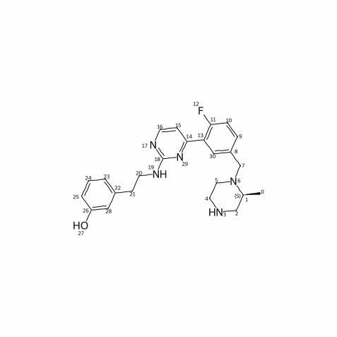 C[C@H]1CNCCN1Cc1ccc(F)c(-c2ccnc(NCCc3cccc(O)c3)n2)c1